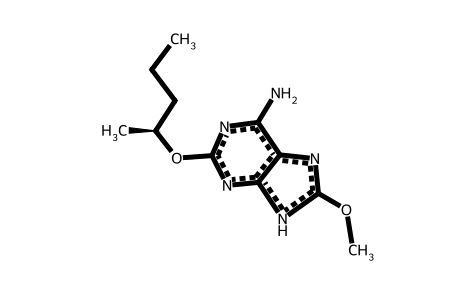 CCC[C@H](C)Oc1nc(N)c2nc(OC)[nH]c2n1